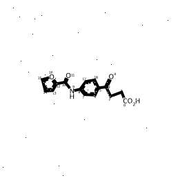 O=C(O)CCC(=O)c1ccc(NC(=O)c2ccco2)cc1